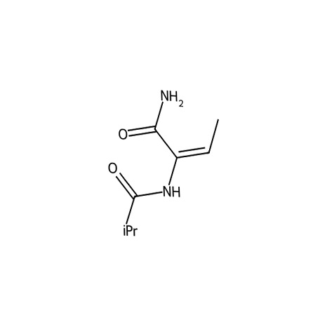 CC=C(NC(=O)C(C)C)C(N)=O